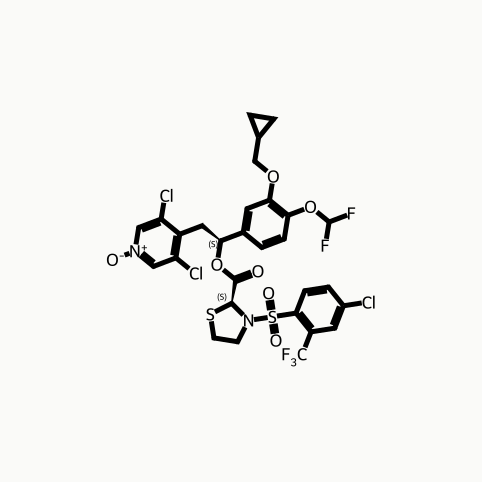 O=C(O[C@@H](Cc1c(Cl)c[n+]([O-])cc1Cl)c1ccc(OC(F)F)c(OCC2CC2)c1)[C@@H]1SCCN1S(=O)(=O)c1ccc(Cl)cc1C(F)(F)F